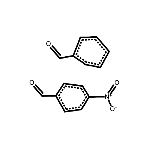 O=Cc1ccc([N+](=O)[O-])cc1.O=Cc1ccccc1